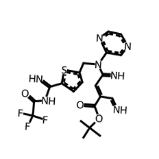 CC(C)(C)OC(=O)/C(C=N)=C/C(=N)N(Cc1ccc(C(=N)NC(=O)C(F)(F)F)s1)c1cnccn1